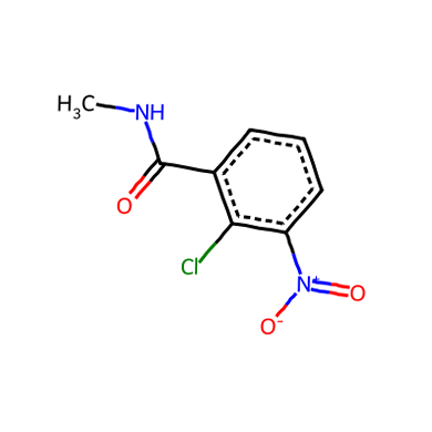 CNC(=O)c1cccc([N+](=O)[O-])c1Cl